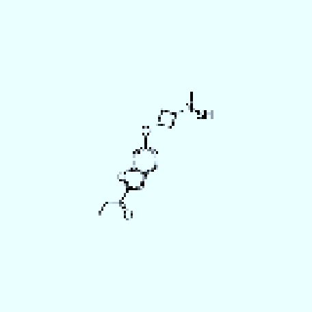 CCC(=O)c1cc2ccc(O[C@H]3C[C@@H](NS)C3)cc2o1